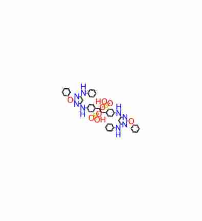 O=S(=O)(O)c1cc(Nc2cc(Nc3ccccc3)nc(Oc3ccccc3)n2)ccc1C=Cc1ccc(Nc2cc(Nc3ccccc3)nc(Oc3ccccc3)n2)cc1S(=O)(=O)O